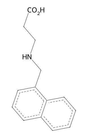 O=C(O)CCNCc1cccc2ccccc12